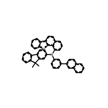 CC1(C)c2ccccc2-c2ccc(N(c3cccc(-c4ccc5ccccc5c4)c3)c3cccc4ccc5c6ccccc6oc5c34)cc21